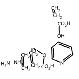 C=C.C=C.C=C.CC(C)OC(=O)O.N.N.O=C(O)O.c1ccncc1